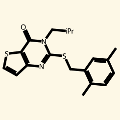 Cc1ccc(C)c(CSc2nc3ccsc3c(=O)n2CC(C)C)c1